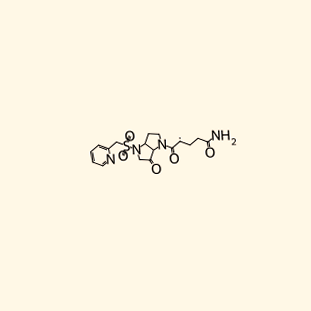 NC(=O)CC[CH]C(=O)N1CCC2C1C(=O)CN2S(=O)(=O)Cc1ccccn1